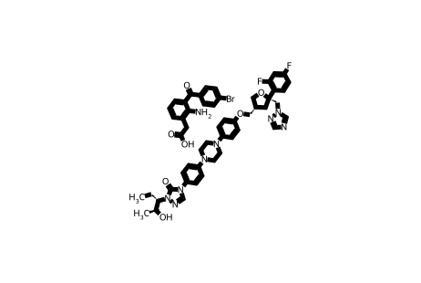 CC[C@@H]([C@H](C)O)n1ncn(-c2ccc(N3CCN(c4ccc(OC[C@@H]5CO[C@@](Cn6cncn6)(c6ccc(F)cc6F)C5)cc4)CC3)cc2)c1=O.Nc1c(CC(=O)O)cccc1C(=O)c1ccc(Br)cc1